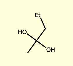 [CH2]C(O)(O)CCC